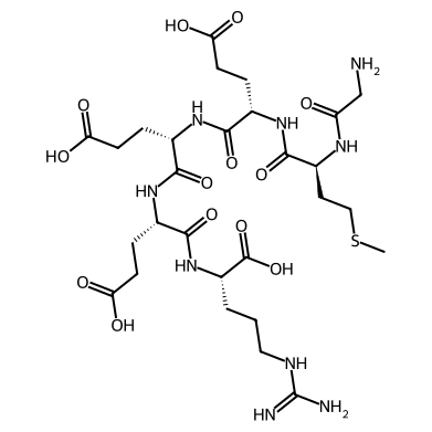 CSCC[C@H](NC(=O)CN)C(=O)N[C@@H](CCC(=O)O)C(=O)N[C@@H](CCC(=O)O)C(=O)N[C@@H](CCC(=O)O)C(=O)N[C@@H](CCCNC(=N)N)C(=O)O